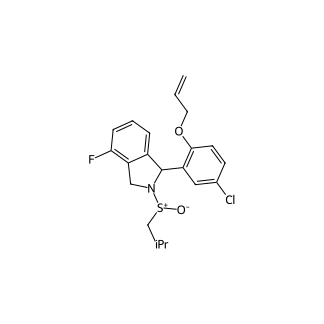 C=CCOc1ccc(Cl)cc1C1c2cccc(F)c2CN1[S+]([O-])CC(C)C